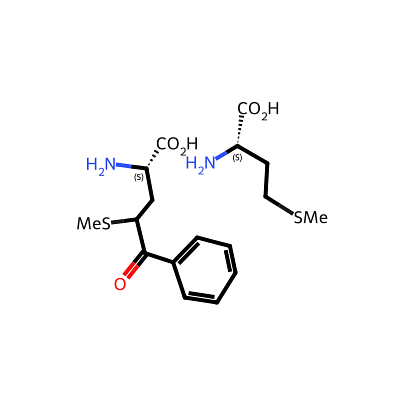 CSC(C[C@H](N)C(=O)O)C(=O)c1ccccc1.CSCC[C@H](N)C(=O)O